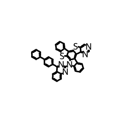 c1ccc(-c2ccc(-c3nc(-n4c5ccccc5c5c6c7ncncc7sc6c6c7ccccc7sc6c54)nc4ccccc34)cc2)cc1